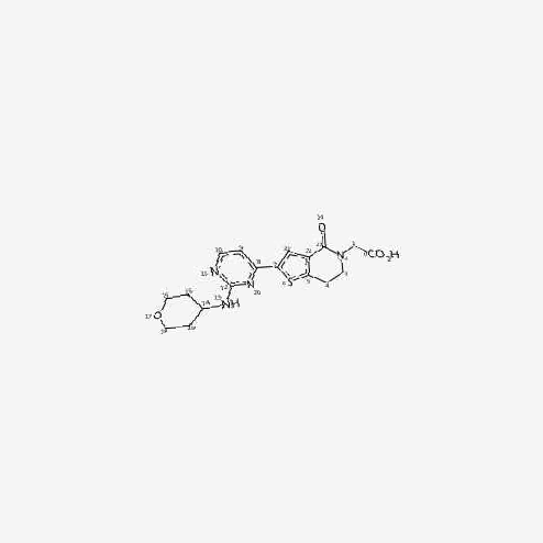 O=C(O)CN1CCc2sc(-c3ccnc(NC4CCOCC4)n3)cc2C1=O